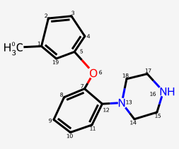 Cc1cccc(Oc2ccccc2N2CCNCC2)c1